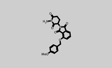 COc1ccc(COc2cccc3c2C(=O)N(C2CCC(=O)N(N)C2=O)C3=O)cc1